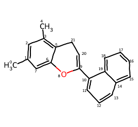 Cc1cc(C)c2c(c1)OC(c1cccc3ccccc13)=CC2